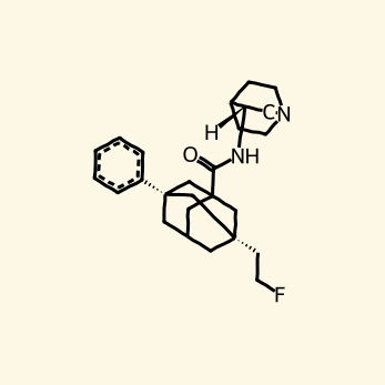 O=C(N[C@H]1CN2CCC1CC2)C12CC3C[C@](CCF)(C1)C[C@@](c1ccccc1)(C3)C2